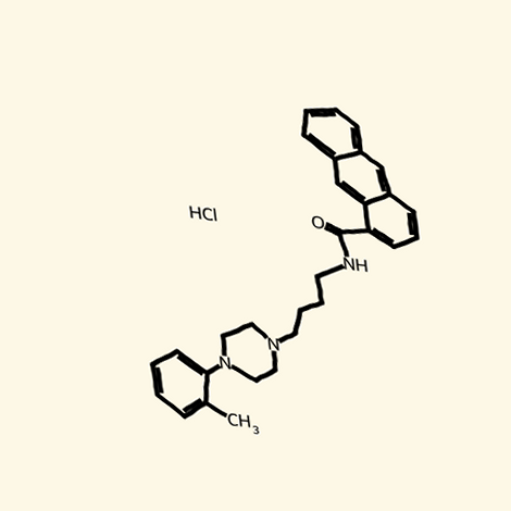 Cc1ccccc1N1CCN(CCCCNC(=O)c2cccc3cc4ccccc4cc23)CC1.Cl